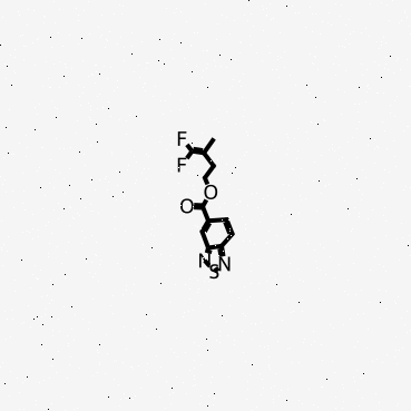 CC(CCOC(=O)c1ccc2nsnc2c1)=C(F)F